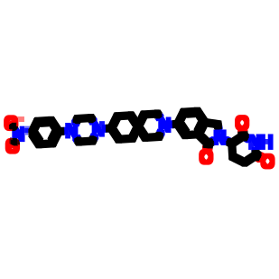 O=C1CCC(N2Cc3ccc(N4CCC5(CCC(N6CCN(c7ccc([N+](=O)[O-])cc7)CC6)CC5)CC4)cc3C2=O)C(=O)N1